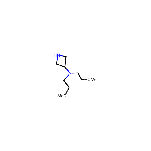 COCCN(CCOC)C1CNC1